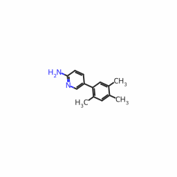 Cc1cc(C)c(-c2ccc(N)nc2)cc1C